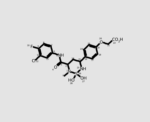 CN1C(C(=O)Nc2ccc(F)c(Cl)c2)CC(c2ccc(OCC(=O)O)cc2)NS1(O)O